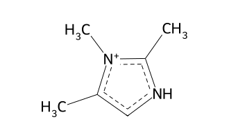 Cc1c[nH]c(C)[n+]1C